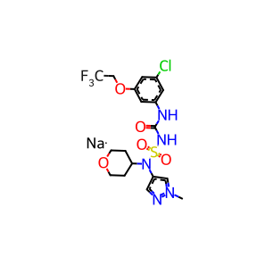 Cn1cc(N(C2CCOCC2)S(=O)(=O)NC(=O)Nc2cc(Cl)cc(OCC(F)(F)F)c2)cn1.[Na]